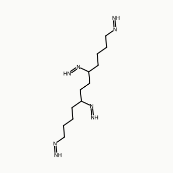 N=NCCCCC(CCC(CCCCN=N)N=N)N=N